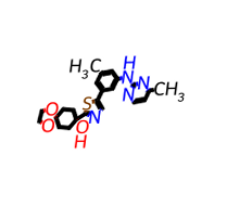 Cc1cc(Nc2nccc(C)n2)cc(-c2cnc(C3(O)CCC4(CC3)OCCO4)s2)c1